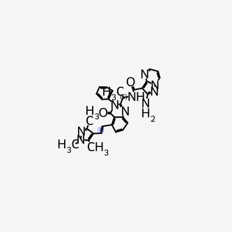 Cc1nn(C)c(C)c1/C=C/c1cccc2nc([C@H](C)NC(=O)c3c(N)nn4cccnc34)n(-c3ccccc3)c(=O)c12